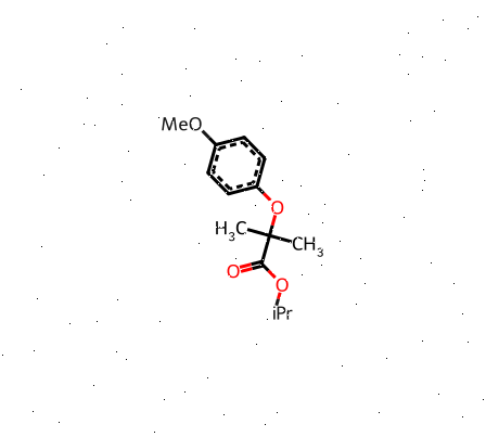 COc1ccc(OC(C)(C)C(=O)OC(C)C)cc1